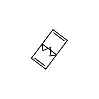 C1=CC23C=CC12CCC3